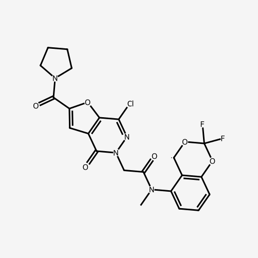 CN(C(=O)Cn1nc(Cl)c2oc(C(=O)N3CCCC3)cc2c1=O)c1cccc2c1[CH]OC(F)(F)O2